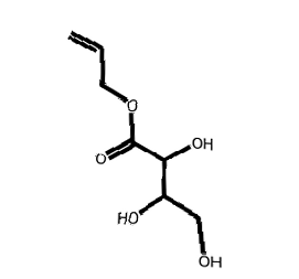 C=CCOC(=O)C(O)C(O)CO